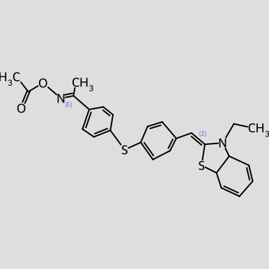 CCN1/C(=C/c2ccc(Sc3ccc(/C(C)=N/OC(C)=O)cc3)cc2)SC2C=CC=CC21